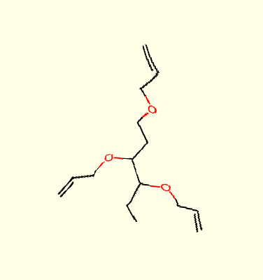 C=CCOCCC(OCC=C)C(CC)OCC=C